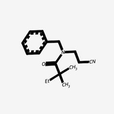 CCC(C)(C)C(=O)N(CCC#N)Cc1ccccc1